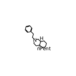 CCCCC[C@]12CCCC[C@@H]1CN(CCc1ccccc1)CC2